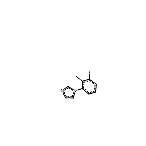 Cc1c(I)cccc1-n1ccnc1